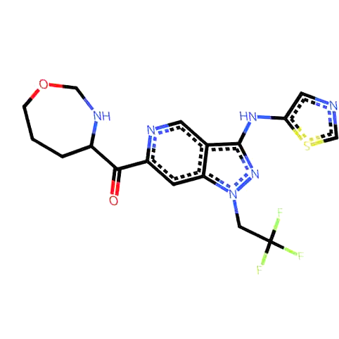 O=C(c1cc2c(cn1)c(Nc1cncs1)nn2CC(F)(F)F)C1CCCOCN1